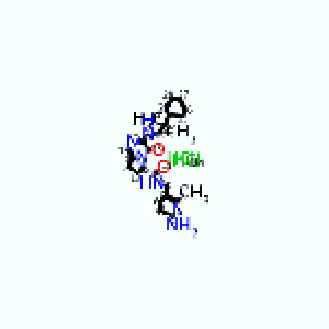 Cc1nc(N)ccc1CNC(=O)[C@@H]1CCc2cnc(NCC(C)(C)c3ccccc3)c(=O)n21.Cl.Cl